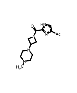 CC(=O)c1c[nH]c(C(=O)N2CC(N3CCN(N)CC3)C2)n1